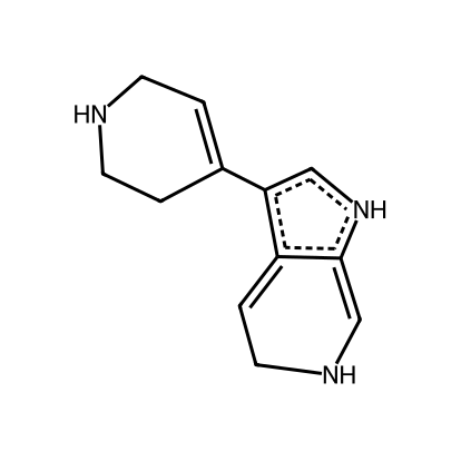 C1=C(c2c[nH]c3c2=CCNC=3)CCNC1